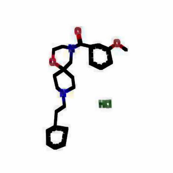 COc1cccc(C(=O)N2CCOC3(CCN(CCc4ccccc4)CC3)C2)c1.Cl